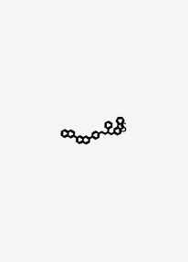 c1ccc(C(CCc2ccc(-c3ccc4ccc(-c5ccc6ccccc6c5)cc4c3)cc2)Cc2ccc3sc4ccccc4c3c2)cc1